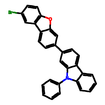 Brc1ccc2oc3cc(-c4ccc5c6ccccc6n(-c6ccccc6)c5c4)ccc3c2c1